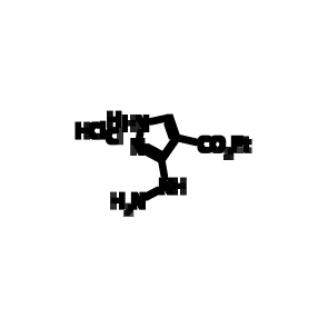 CCOC(=O)c1c[nH]nc1NN.Cl.Cl